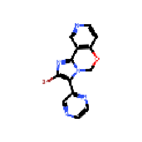 Brc1nc2n(c1-c1cnccn1)COc1ccncc1-2